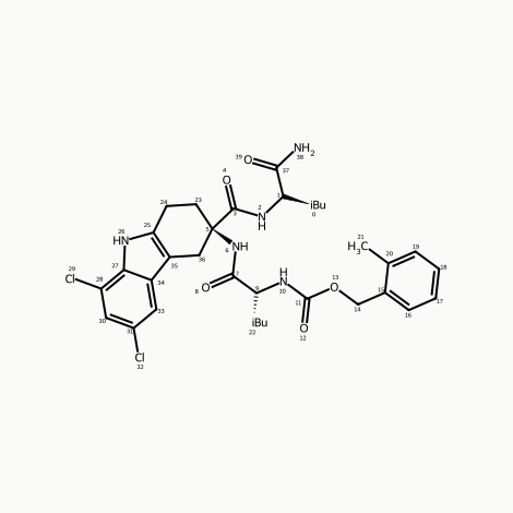 CC[C@H](C)C(NC(=O)[C@@]1(NC(=O)C(NC(=O)OCc2ccccc2C)[C@@H](C)CC)CCc2[nH]c3c(Cl)cc(Cl)cc3c2C1)C(N)=O